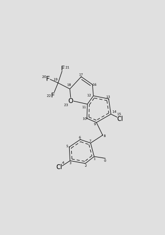 Cc1cc(Cl)ccc1Cc1cc2c(cc1Cl)C=CC(C(F)(F)F)O2